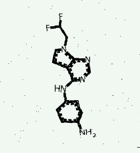 Nc1ccc(Nc2ncnc3c2ccn3CC(F)F)cc1